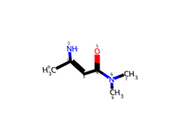 CC([NH])=CC(=O)N(C)C